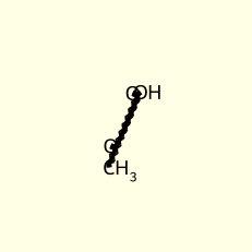 CCCCCC(=O)CCCC=CC=CC=CC=CC=CC(=O)O